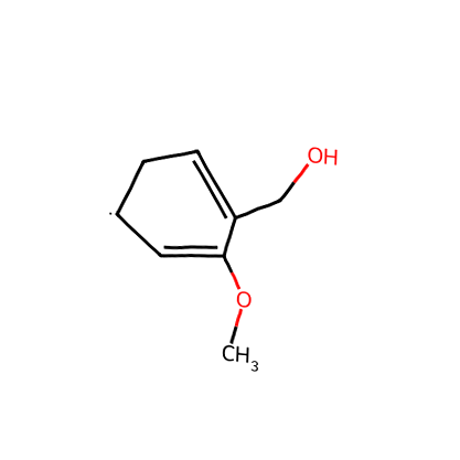 COC1=C[CH]CC=C1CO